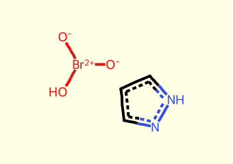 [O-][Br+2]([O-])O.c1cn[nH]c1